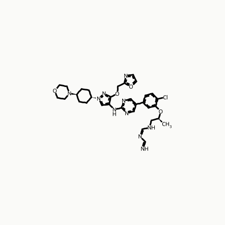 C[C@@H](CN/C=N\C=N)Oc1cc(-c2cnc(Nc3cn([C@H]4CC[C@H](N5CCOCC5)CC4)nc3OCc3ncco3)nc2)ccc1Cl